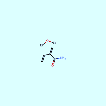 C=CC(=C)C(N)=O.CCOCC